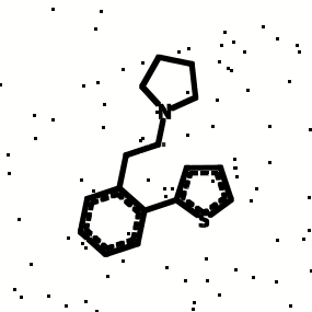 [CH](Cc1ccccc1-c1cccs1)N1CCCC1